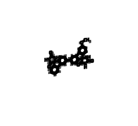 COc1ccc2c(c1)-c1cc(-c3cnc4c(c3)-c3ccccc3C43NC(=O)NC3=O)ccc1C21NC(=O)NC1=O